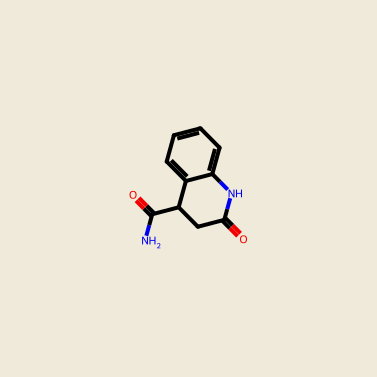 NC(=O)C1CC(=O)Nc2ccccc21